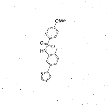 COc1ccc(S(=O)(=O)Nc2cc(-c3cccs3)ccc2C)nc1